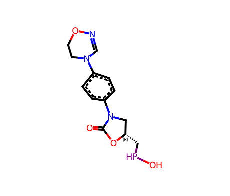 O=C1O[C@@H](CPO)CN1c1ccc(N2C=NOCC2)cc1